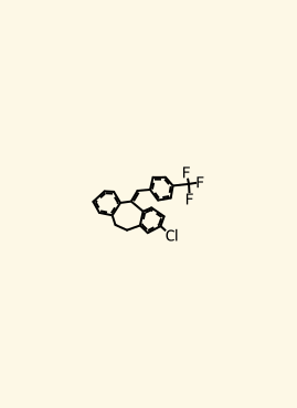 FC(F)(F)c1ccc(C=C2c3ccccc3CCc3cc(Cl)ccc32)cc1